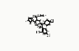 CNC(=O)c1cc2c(-c3ccc(Cl)cc3)n(-c3ccc(Cl)cc3Cl)nc2nc1-n1cccc1